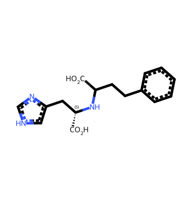 O=C(O)C(CCc1ccccc1)N[C@@H](Cc1c[nH]cn1)C(=O)O